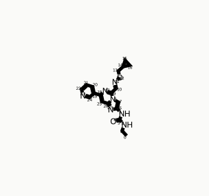 CCNC(=O)Nc1cn2c(/C=N/OCC3CC3)nc(-c3cccnc3)cc2n1